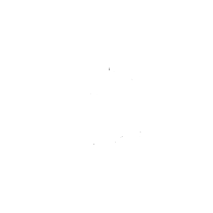 Cc1cc(O)c2op(OCP3[C@@H](c4ccccc4)CC[C@@H]3c3ccccc3)oc3c(O)cc(C)c(C)c3c2c1C